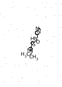 CC(C)Cn1cc(-c2ccc(C(=O)NCc3ccc4nccn4c3)s2)cn1